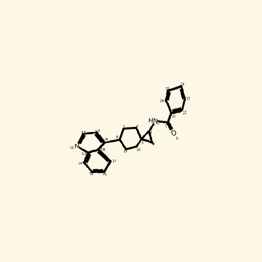 O=C(NC1CC12CCC(c1ccnc3ccccc13)CC2)c1ccccc1